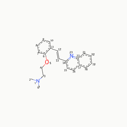 CN(C)CCOc1ccccc1C=Cc1ccc2ccccc2n1